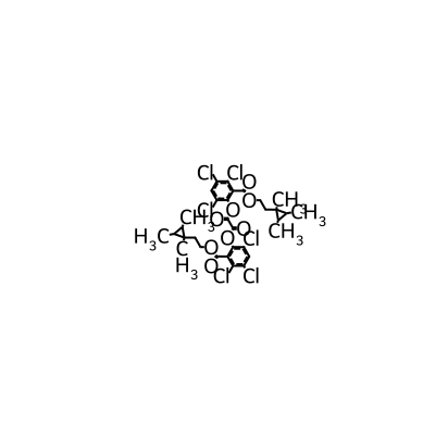 CC1C(C)C1(C)CCOC(=O)c1c(Cl)c(Cl)cc(Cl)c1OC(=O)C(=O)Oc1c(Cl)cc(Cl)c(Cl)c1C(=O)OCCC1(C)C(C)C1C